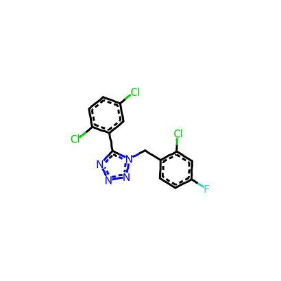 Fc1ccc(Cn2nnnc2-c2cc(Cl)ccc2Cl)c(Cl)c1